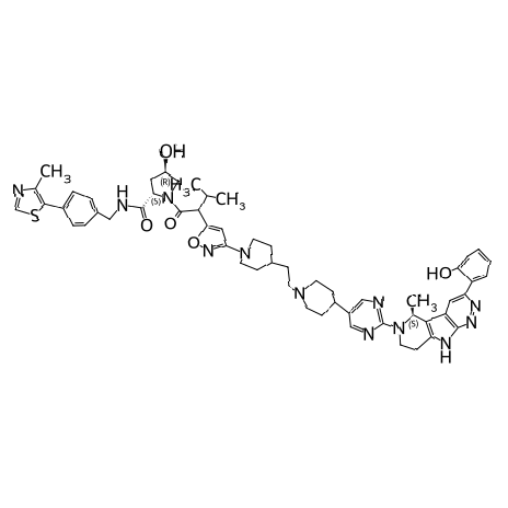 Cc1ncsc1-c1ccc(CNC(=O)[C@@H]2C[C@@H](O)CN2C(=O)C(c2cc(N3CCC(CCN4CCC(c5cnc(N6CCc7[nH]c8nnc(-c9ccccc9O)cc8c7[C@@H]6C)nc5)CC4)CC3)no2)C(C)C)cc1